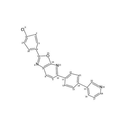 Clc1ccc(-c2nc3ccc(-c4ccc(-c5cccnc5)cc4)nc3o2)cc1